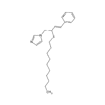 CCCCCCCCCCSC(C=Cc1ccccc1)Cn1ccnc1